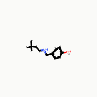 CC(C)(C)CCNCc1ccc(O)cc1